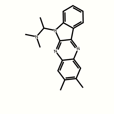 Cc1cc2nc3c4ccccc4n(C(C)N(C)C)c3nc2cc1C